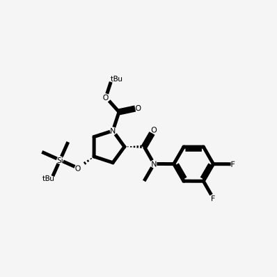 CN(C(=O)[C@@H]1C[C@H](O[Si](C)(C)C(C)(C)C)CN1C(=O)OC(C)(C)C)c1ccc(F)c(F)c1